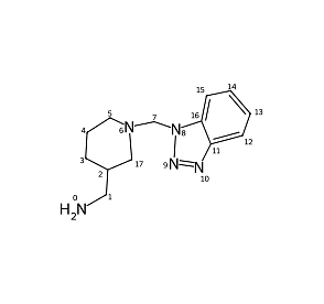 NCC1CCCN(Cn2nnc3ccccc32)C1